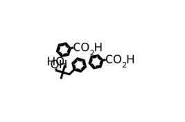 CC(CO)(CO)Cc1ccccc1.O=C(O)c1ccccc1.O=C(O)c1ccccc1